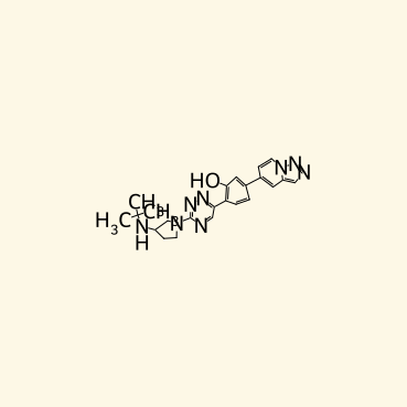 CC(C)(C)NC1CCN(c2ncc(-c3ccc(-c4ccn5nncc5c4)cc3O)nn2)C1